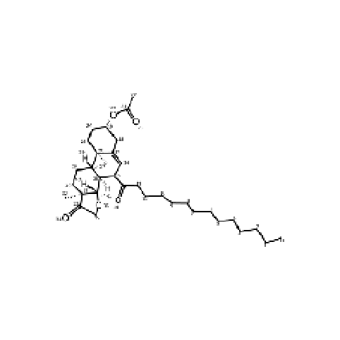 CCCCCCCCCCCCCC(=O)C1C=C2C[C@@H](OC(C)=O)CC[C@]2(C)[C@H]2CC[C@]3(C)C(=O)CC[C@H]3[C@H]12